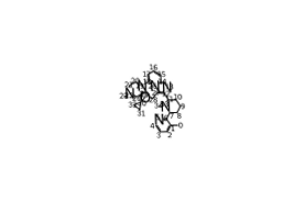 Cc1cccnc1C1CCCC(c2nc3cccc(N4CCN(C)CC4)n3c2COC2CC2)N1C